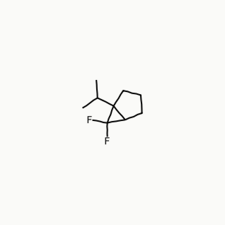 CC(C)C12CCCC1C2(F)F